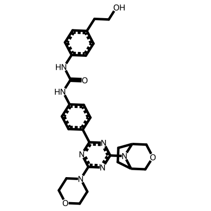 O=C(Nc1ccc(CCO)cc1)Nc1ccc(-c2nc(N3CCOCC3)nc(N3C4CCC3COC4)n2)cc1